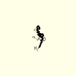 CCCCCCCCC(N)C(=O)c1ccc(CCC(=O)N2CCCCC2)cc1